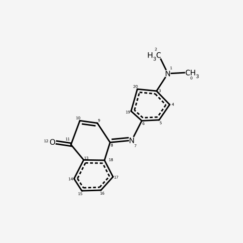 CN(C)c1ccc(N=C2C=CC(=O)c3ccccc32)cc1